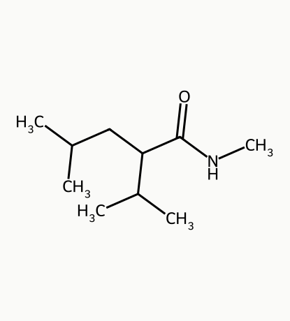 CNC(=O)C(CC(C)C)C(C)C